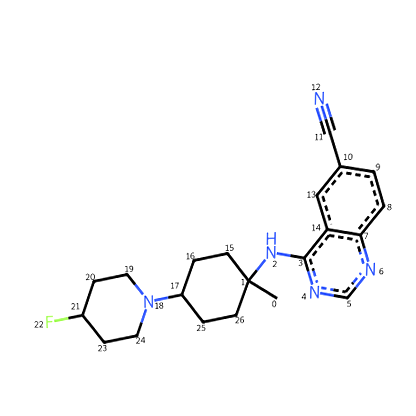 CC1(Nc2ncnc3ccc(C#N)cc23)CCC(N2CCC(F)CC2)CC1